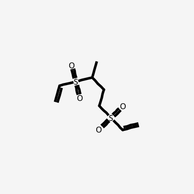 C=CS(=O)(=O)CCC(C)S(=O)(=O)C=C